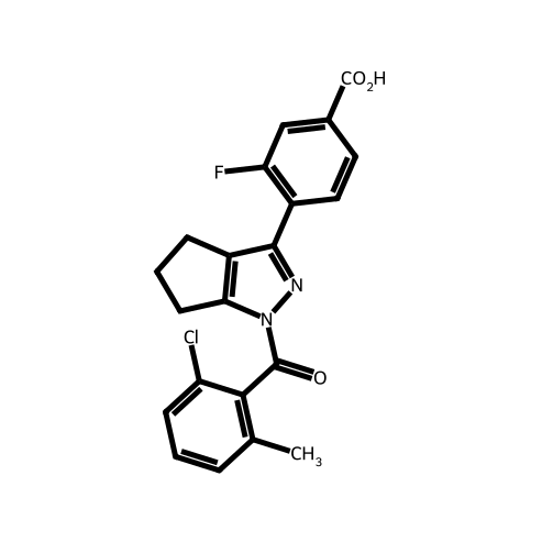 Cc1cccc(Cl)c1C(=O)n1nc(-c2ccc(C(=O)O)cc2F)c2c1CCC2